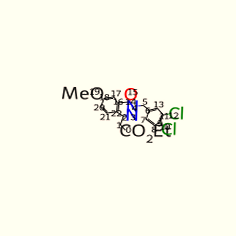 CCOC(=O)Cc1nn(Cc2ccc(Cl)c(Cl)c2)c(=O)c2cc(OC)ccc12